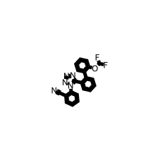 N#Cc1ccccc1-n1nnnc1-c1ccccc1-c1ccccc1OC(F)F